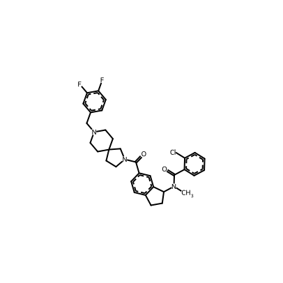 CN(C(=O)c1ccccc1Cl)C1CCc2ccc(C(=O)N3CCC4(CCN(Cc5ccc(F)c(F)c5)CC4)C3)cc21